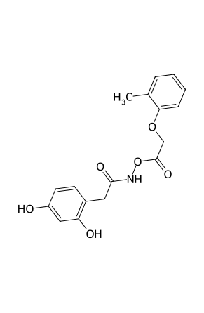 Cc1ccccc1OCC(=O)ONC(=O)Cc1ccc(O)cc1O